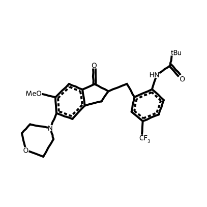 COc1cc2c(cc1N1CCOCC1)CC(Cc1cc(C(F)(F)F)ccc1NC(=O)C(C)(C)C)C2=O